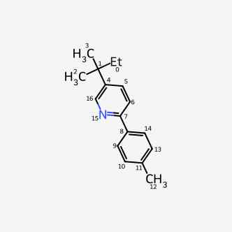 CCC(C)(C)c1ccc(-c2ccc(C)cc2)nc1